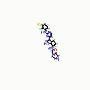 CN1CCN(CC(=O)Nc2cccc3c(-c4ccnc(Nc5cccc(S)c5F)n4)c[nH]c23)CC1